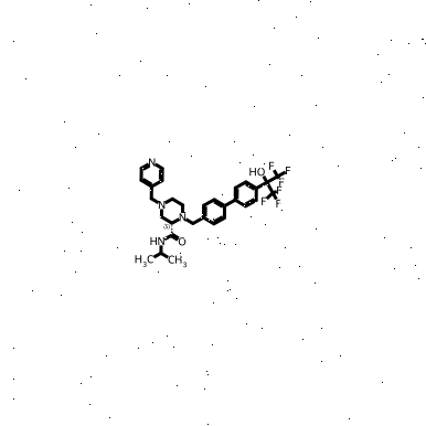 CC(C)NC(=O)[C@@H]1CN(Cc2ccncc2)CCN1Cc1ccc(-c2ccc(C(O)(C(F)(F)F)C(F)(F)F)cc2)cc1